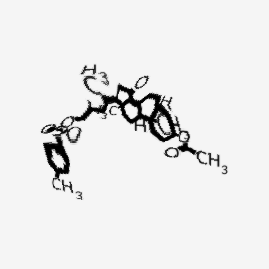 CC(=O)O[C@H]1CC[C@@]2(C)[C@@H](CCC3=C4C(=O)C[C@H]([C@H](C)CCCOS(=O)(=O)c5ccc(C)cc5)[C@@]4(C)CC[C@@H]32)C1